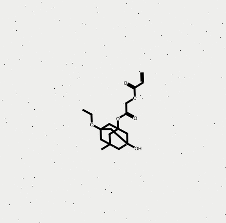 C=CC(=O)OCC(=O)OC12CC3(C)CC(O)(CC(OCC)(C3)C1)C2